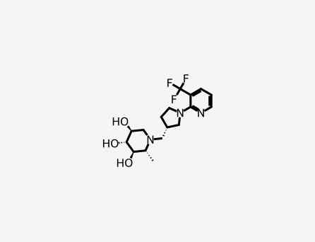 C[C@@H]1[C@@H](O)[C@H](O)[C@@H](O)CN1C[C@@H]1CCN(c2ncccc2C(F)(F)F)C1